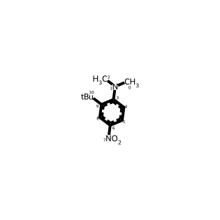 CN(C)c1ccc([N+](=O)[O-])cc1C(C)(C)C